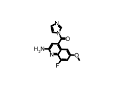 COc1cc(F)c2nc(N)cc(C(=O)n3ccnc3)c2c1